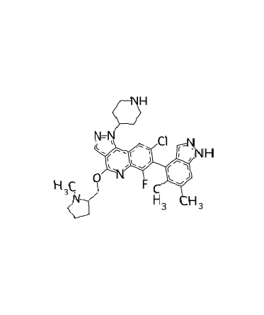 Cc1cc2[nH]ncc2c(-c2c(Cl)cc3c(nc(OCC4CCCN4C)c4cnn(C5CCNCC5)c43)c2F)c1C